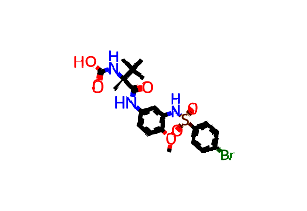 COc1ccc(NC(=O)[C@](C)(NC(=O)O)C(C)(C)C)cc1NS(=O)(=O)c1ccc(Br)cc1